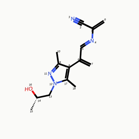 C=C(C#N)/N=C/C(=C)c1c(C)nn(C[C@H](C)O)c1C